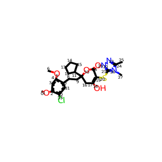 COc1cc(OC)c(CCC2(C3CCCC3)CC(O)=C(Sc3nnc(C)n3C)C(=O)O2)cc1Cl